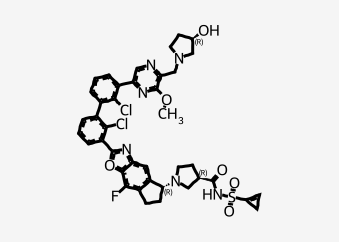 COc1nc(-c2cccc(-c3cccc(-c4nc5cc6c(c(F)c5o4)CC[C@H]6N4CC[C@@H](C(=O)NS(=O)(=O)C5=CC5)C4)c3Cl)c2Cl)cnc1CN1CC[C@@H](O)C1